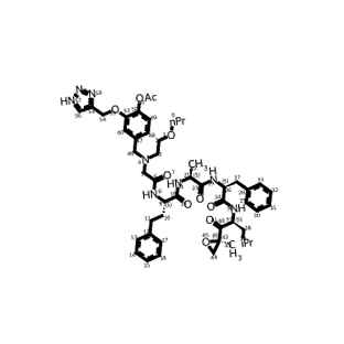 CCCOCCN(CC(=O)N[C@@H](CCc1ccccc1)C(=O)N[C@@H](C)C(=O)N[C@@H](Cc1ccccc1)C(=O)N[C@@H](CC(C)C)C(=O)[C@@]1(C)CO1)Cc1ccc(OC(C)=O)c(OCc2c[nH]nn2)c1